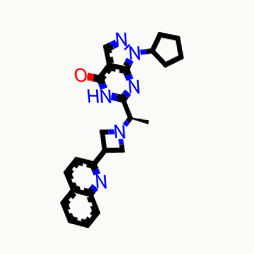 C[C@H](c1nc2c(cnn2C2CCCC2)c(=O)[nH]1)N1CC(c2ccc3ccccc3n2)C1